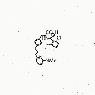 CNc1cccc(CCCc2ccc(C[C@H](NC(=O)c3c(F)cccc3Cl)C(=O)O)cc2)n1